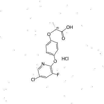 C[C@@H](Oc1ccc(Oc2ncc(Cl)cc2F)cc1)C(=O)O.Cl